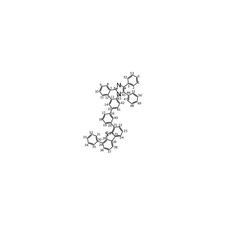 c1ccc(-c2nc3c4ccccc4c4cc(-c5cccc(-c6cccc7c6sc6c(-c8ccccc8)cccc67)c5)ccc4n3c2-c2ccccc2)cc1